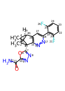 CC1(C)[C@H]2CC[C@]1(c1nnc(C(N)=O)o1)c1nnc(-c3c(F)cccc3F)cc12